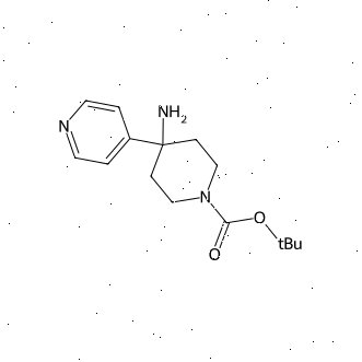 CC(C)(C)OC(=O)N1CCC(N)(c2ccncc2)CC1